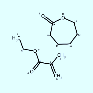 C=C(C)C(=O)OCC.O=C1CCCCCO1